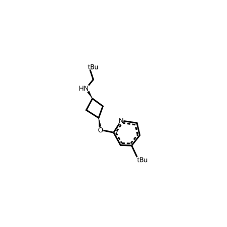 CC(C)(C)CN[C@H]1C[C@@H](Oc2cc(C(C)(C)C)ccn2)C1